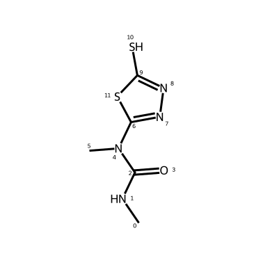 CNC(=O)N(C)c1nnc(S)s1